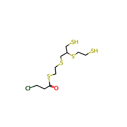 O=C(CCCl)SCCSCC(CS)SCCS